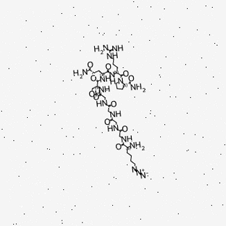 [N-]=[N+]=NCCCC[C@H](N)C(=O)NCC(=O)NCC(=O)NCC(=O)NCC(=O)N[C@@H](CO)C(=O)N[C@@H](CCC(N)=O)C(=O)N[C@@H](CCCNC(=N)N)C(=O)N1CCC[C@H]1C(N)=O